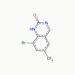 O=c1ncc2cc(C(F)(F)F)cc(Br)c2[nH]1